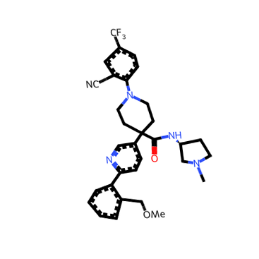 COCc1ccccc1-c1ccc(C2(C(=O)N[C@@H]3CCN(C)C3)CCN(c3ccc(C(F)(F)F)cc3C#N)CC2)cn1